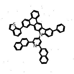 c1ccc(-c2ccc3c(c2)c2cc4c5ccccc5c5ccc(-c6cccc7ccsc67)cc5c4cc2n3-c2cc(-c3ccc4ccccc4c3)nc(-c3ccc4ccccc4c3)c2)cc1